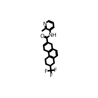 Cc1ncccc1NC(=O)C1=CCc2c(ccc3c2CCC(C(F)(F)F)C3)C1